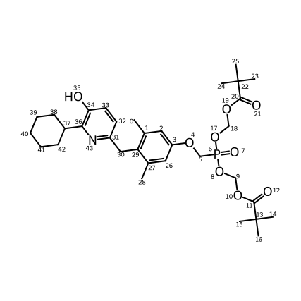 Cc1cc(OCP(=O)(OCOC(=O)C(C)(C)C)OCOC(=O)C(C)(C)C)cc(C)c1Cc1ccc(O)c(C2CCCCC2)n1